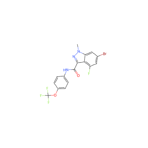 Cn1nc(C(=O)Nc2ccc(OC(F)(F)F)cc2)c2c(F)cc(Br)cc21